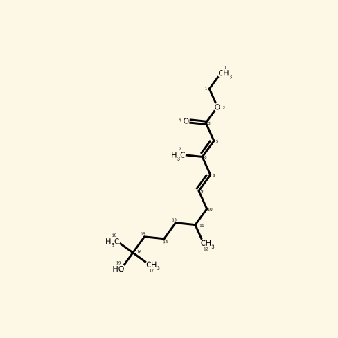 CCOC(=O)/C=C(C)/C=C/CC(C)CCCC(C)(C)O